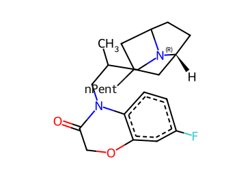 CCCCCC1CC2CC[C@H](C1)N2CC(C)CN1C(=O)COc2cc(F)ccc21